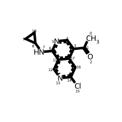 CC(=O)c1cnc(NC2CC2)c2cnc(Cl)cc12